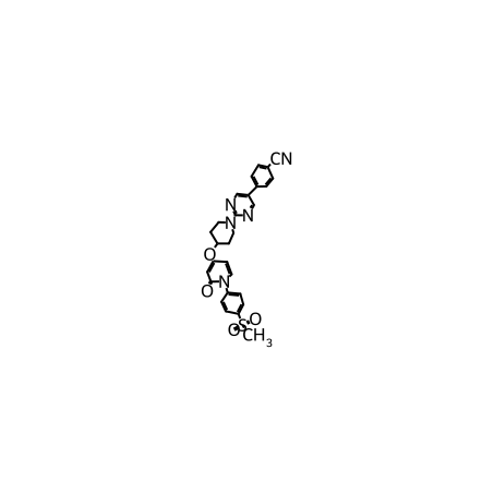 CS(=O)(=O)c1ccc(-n2ccc(OC3CCN(c4ncc(-c5ccc(C#N)cc5)cn4)CC3)cc2=O)cc1